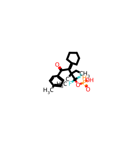 CCC(CC)(C(C(=O)c1ccc(C)cc1)=C1CCCCC1)C(F)(F)O[PH](=O)O